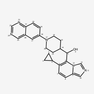 OC(c1c(C2CC2)ccc2cncn12)C1CCN(c2ccc3ncncc3c2)CC1